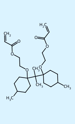 C=CC(=O)OCCOC1(C(C)(C)C2(OCCOC(=O)C=C)CCC(C)CC2)CCC(C)CC1